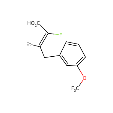 CCC(Cc1cccc(OC(F)(F)F)c1)=C(F)C(=O)O